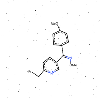 CON=C(c1ccc(OC)cc1)c1ccc(C[C](C)C)nc1